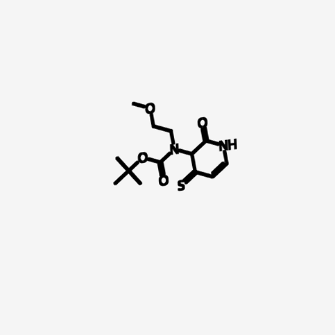 COCCN(C(=O)OC(C)(C)C)C1C(=O)NC=CC1=S